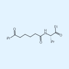 CCC(=O)[C@@H](NC(=O)CCCCC(=O)C(C)C)C(C)C